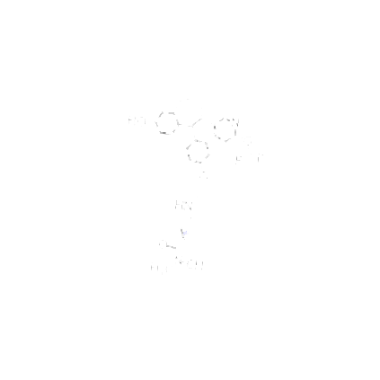 CN(C)C(=O)/C=C/CNCCOc1ccc(C2=C(c3ccc(OC(F)F)nc3)CCCc3cc(O)ccc32)cc1